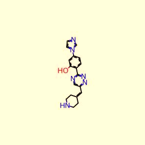 Oc1cc(-n2ccnc2)ccc1-c1ncc(C=C2CCNCC2)nn1